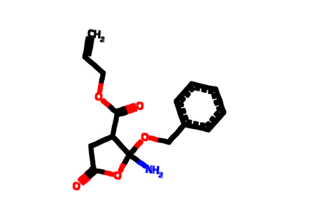 C=CCOC(=O)C1CC(=O)OC1(N)OCc1ccccc1